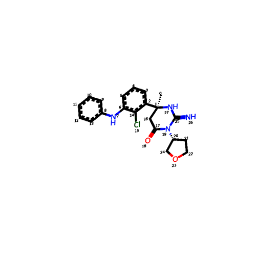 C[C@@]1(c2cccc(Nc3ccccc3)c2Cl)CC(=O)N([C@@H]2CCOC2)C(=N)N1